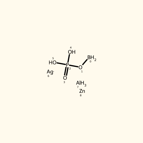 BOP(=O)(O)O.[Ag].[AlH3].[Zn]